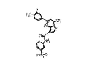 Cc1cc(-c2cc(C(F)(F)F)n3ncc(C(=O)Nc4cccc(S(C)(=O)=O)c4)c3n2)ccc1C(F)(F)F